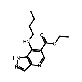 CCCCNc1c(C(=O)OCC)cnc2cn[nH]c12